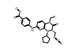 [N-]=[N+]=NC[C@@H]1C(=O)N(CI)c2ccc(Nc3ccc(C(=O)N=O)cc3)nc2N1C1CCCC1